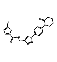 O=C(NCc1cn(-c2ccc(N3CCCCC3=O)nc2)nn1)c1ccc(Cl)s1